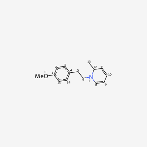 COc1ccc(CCN2C=CC=CC2C)cc1